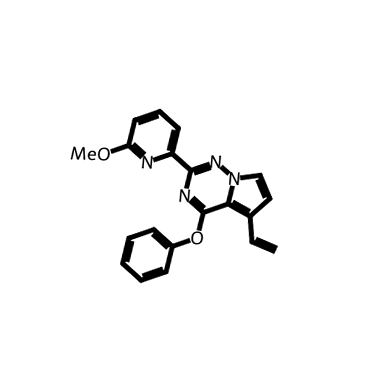 C=Cc1ccn2nc(-c3cccc(OC)n3)nc(Oc3ccccc3)c12